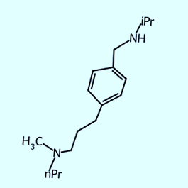 CCCN(C)CCCc1ccc(CNC(C)C)cc1